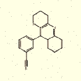 N#Cc1cccc(C2C3=CCCCC3=NC3=C2SCCC3)c1